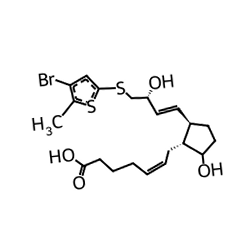 Cc1sc(SC[C@H](O)/C=C/[C@H]2CCC(O)[C@@H]2C/C=C\CCCC(=O)O)cc1Br